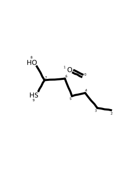 C=O.CCCCCC(O)S